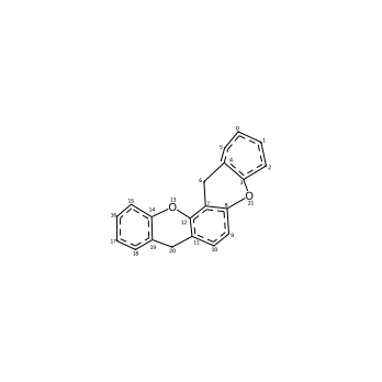 c1ccc2c(c1)Cc1c(ccc3c1Oc1ccccc1C3)O2